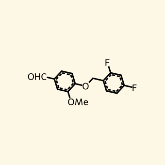 COc1cc(C=O)ccc1OCc1ccc(F)cc1F